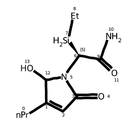 CCCC1=CC(=O)N([C@@H]([SiH2]CC)C(N)=O)C1O